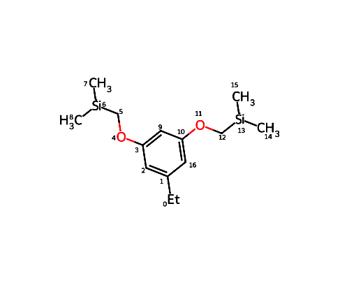 CCc1cc(OC[Si](C)C)cc(OC[Si](C)C)c1